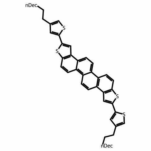 CCCCCCCCCCCCc1csc(-c2cc3c(ccc4c3ccc3c5ccc6sc(-c7cc(CCCCCCCCCCCC)cs7)cc6c5ccc43)s2)c1